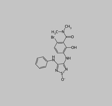 CN(C)C(=O)c1c(Br)ccc(Nc2n[s+]([O-])nc2Nc2ccccc2)c1O